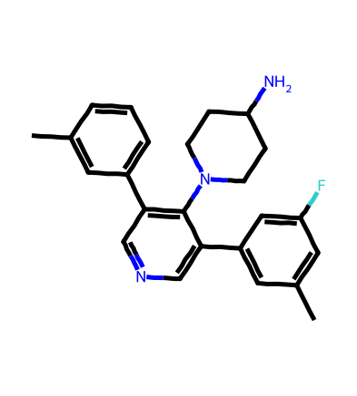 Cc1cccc(-c2cncc(-c3cc(C)cc(F)c3)c2N2CCC(N)CC2)c1